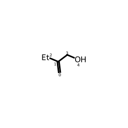 C=C(CC)CO